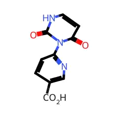 O=C(O)c1ccc(-n2c(=O)cc[nH]c2=O)nc1